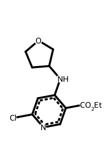 CCOC(=O)c1cnc(Cl)cc1NC1CCOC1